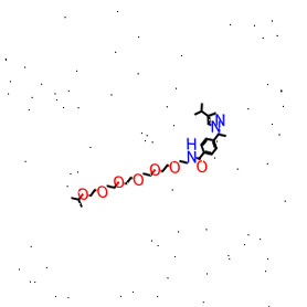 CC(C)OCCOCCOCCOCCOCCOCCNC(=O)c1ccc(C(C)n2cc(C(C)C)cn2)cc1